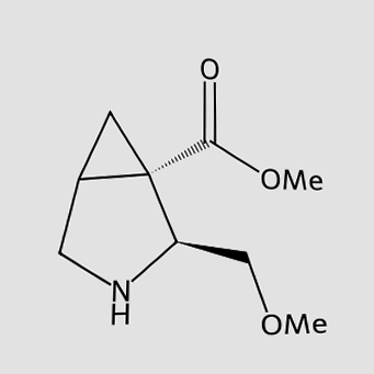 COC[C@H]1NCC2C[C@]21C(=O)OC